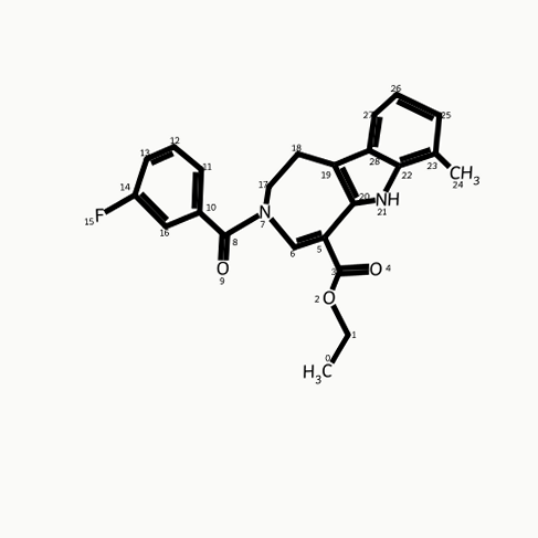 CCOC(=O)C1=CN(C(=O)c2cccc(F)c2)CCc2c1[nH]c1c(C)cccc21